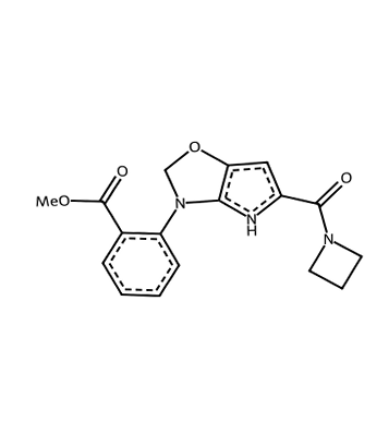 COC(=O)c1ccccc1N1COc2cc(C(=O)N3CCC3)[nH]c21